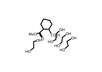 COC(=O)C1CCCCC1C(=O)O.OCCO.OCCO.OCCO.OCCO